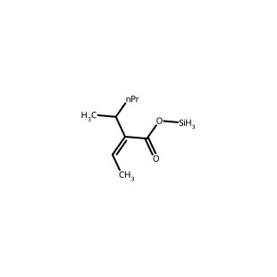 CC=C(C(=O)O[SiH3])C(C)CCC